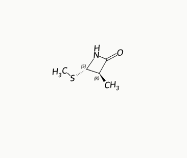 CS[C@@H]1NC(=O)[C@H]1C